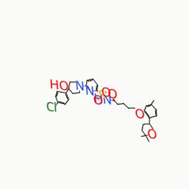 Cc1ccc(C2CCC(C)(C)OC2)c(OCCCCC(=O)NS(=O)(=O)c2cccc(N3CCC(O)(c4ccc(Cl)cc4)CC3)n2)c1